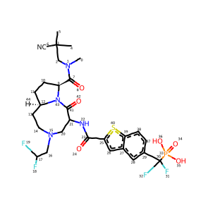 CN(CC(C)(C)C#N)C(=O)[C@@H]1CC[C@@H]2CCN(CC(F)F)CC(NC(=O)c3cc4cc(C(F)(F)P(=O)(O)O)ccc4s3)C(=O)N21